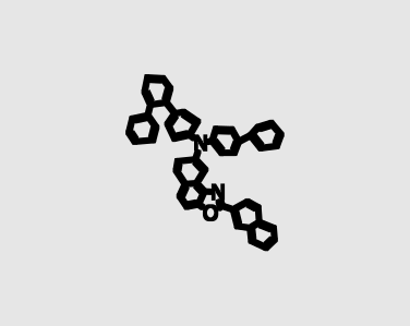 c1ccc(-c2ccc(N(c3ccc(-c4ccccc4-c4ccccc4)cc3)c3ccc4ccc5oc(-c6ccc7ccccc7c6)nc5c4c3)cc2)cc1